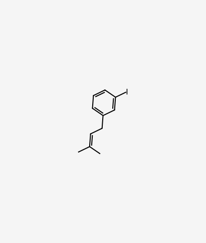 CC(C)=CCc1cccc(I)c1